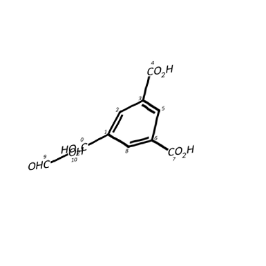 O=C(O)c1cc(C(=O)O)cc(C(=O)O)c1.O=CO